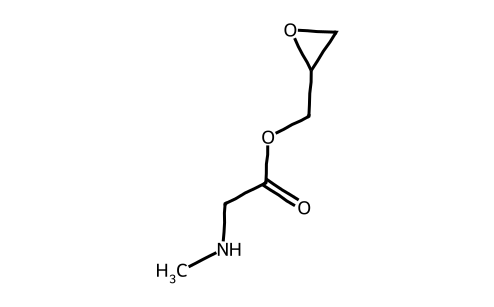 CNCC(=O)OCC1CO1